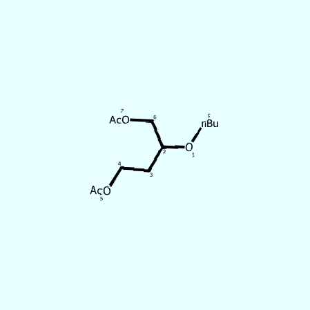 CCCCOC(CCOC(C)=O)COC(C)=O